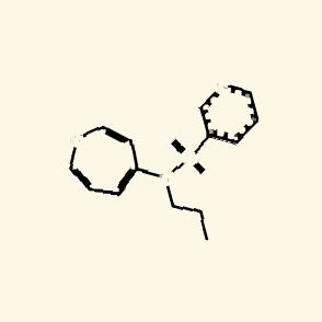 CCCN(C1=CC=CNC=C1)S(=O)(=O)c1cccnc1